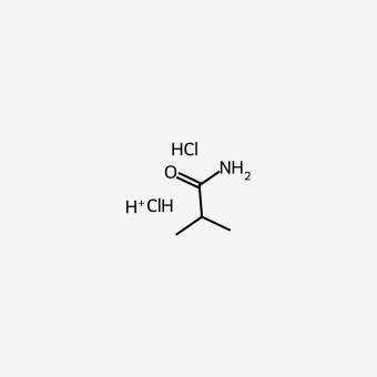 CC(C)C(N)=O.Cl.Cl.[H+]